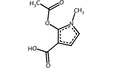 CC(=O)Oc1c(C(=O)O)ccn1C